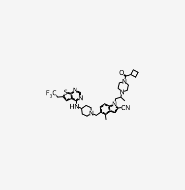 Cc1c(CN2CCC(Nc3ncnc4sc(CC(F)(F)F)cc34)CC2)ccc2c1cc(C#N)n2CC(C)N1CCN(C(=O)C2CCC2)CC1